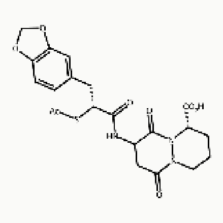 CC(=O)S[C@H](Cc1ccc2c(c1)OCO2)C(=O)NC1CC(=O)N2CCC[C@@H](C(=O)O)N2C1=O